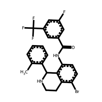 Cc1ccccc1C1NCCc2c(Br)ccc(NC(=O)c3cc(F)cc(C(F)(F)F)c3)c21